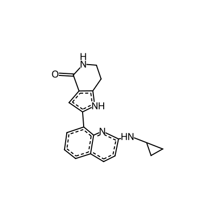 O=C1NCCc2[nH]c(-c3cccc4ccc(NC5CC5)nc34)cc21